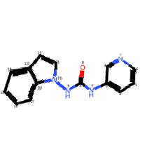 O=C(Nc1cccnc1)Nn1ccc2ccccc21